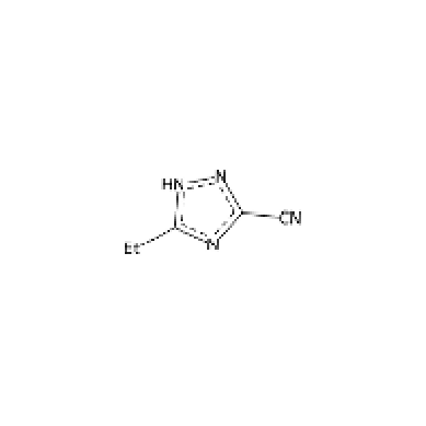 CCc1nc(C#N)n[nH]1